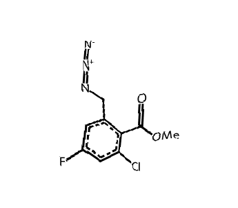 COC(=O)c1c(Cl)cc(F)cc1CN=[N+]=[N-]